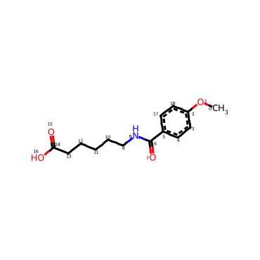 COc1ccc(C(=O)NCCCCCC(=O)O)cc1